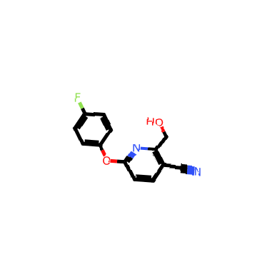 N#Cc1ccc(Oc2ccc(F)cc2)nc1CO